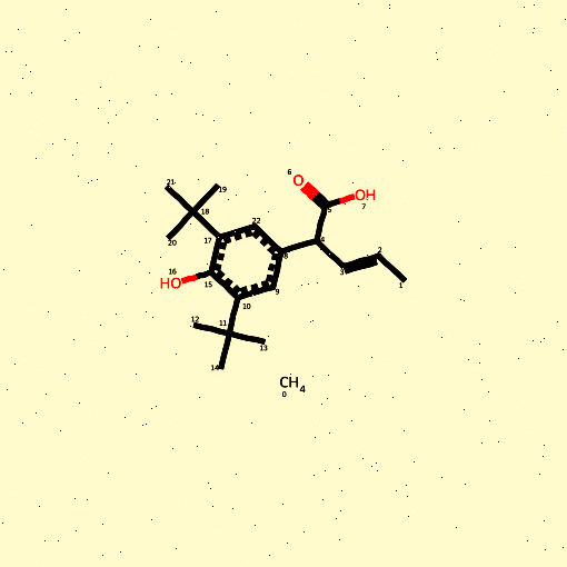 C.CC=CC(C(=O)O)c1cc(C(C)(C)C)c(O)c(C(C)(C)C)c1